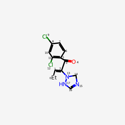 CCC=C(C(=O)c1ccc(Cl)cc1Cl)N1CN=CN1